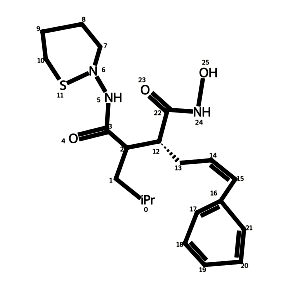 CC(C)CC(C(=O)NN1CCCCS1)[C@@H](C/C=C\c1ccccc1)C(=O)NO